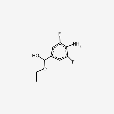 CCOC(O)c1cc(F)c(N)c(F)c1